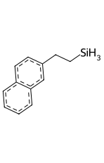 [SiH3]CCc1ccc2ccccc2c1